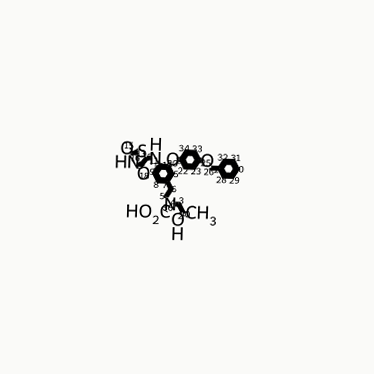 C[C@H](O)CN(CCc1ccc(NC2SC(=O)NC2=O)c(Oc2ccc(OCc3ccccc3)cc2)c1)C(=O)O